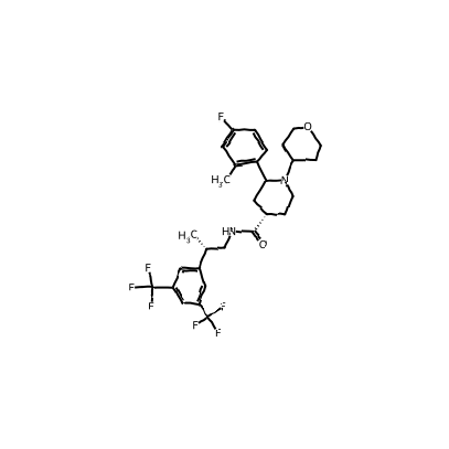 Cc1cc(F)ccc1C1C[C@@H](C(=O)NC[C@@H](C)c2cc(C(F)(F)F)cc(C(F)(F)F)c2)CCN1C1CCOCC1